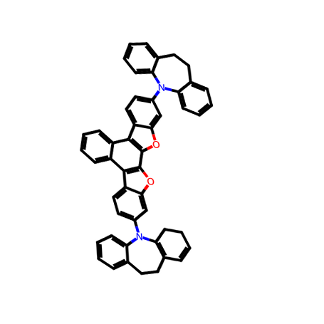 C1=CC2=C(CC1)N(c1ccc3c(c1)oc1c4oc5cc(N6c7ccccc7CCc7ccccc76)ccc5c4c4ccccc4c31)c1ccccc1CC2